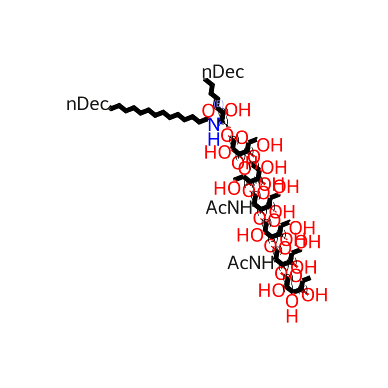 CCCCCCCCCCCCC/C=C/[C@@H](O)[C@H](CO[C@@H]1OC(CO)[C@@H](O[C@@H]2OC(CO)[C@H](O[C@@H]3OC(CO)[C@H](O)[C@H](O[C@@H]4OC(CO)[C@H](O)[C@H](O[C@@H]5OC(CO)[C@@H](O)[C@H](O[C@H]6OC(C)[C@@H](O)C(O)[C@@H]6O)C5NC(C)=O)C4O)C3NC(C)=O)[C@H](O)C2O)[C@H](O)C1O)NC(=O)CCCCCCCCCCCCCCCCCCCCCCC